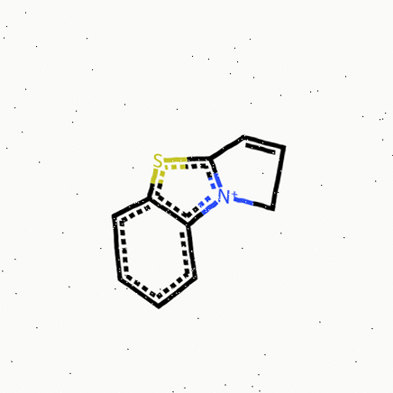 C1=Cc2sc3ccccc3[n+]2C1